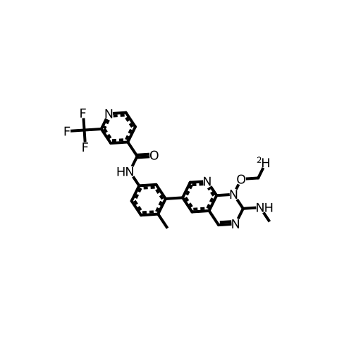 [2H]CON1c2ncc(-c3cc(NC(=O)c4ccnc(C(F)(F)F)c4)ccc3C)cc2C=NC1NC